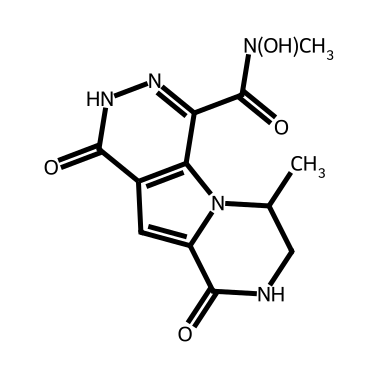 CC1CNC(=O)c2cc3c(=O)[nH]nc(C(=O)N(C)O)c3n21